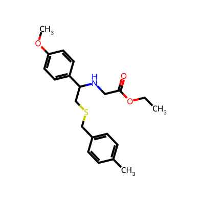 CCOC(=O)CNC(CSCc1ccc(C)cc1)c1ccc(OC)cc1